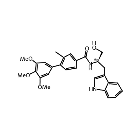 COc1cc(-c2ccc(C(=O)N[C@@H](CO)Cc3c[nH]c4ccccc34)cc2C)cc(OC)c1OC